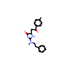 Cc1ccc(C(=O)CC2NC(N(C)CCc3ccccc3)=NC2=O)cc1